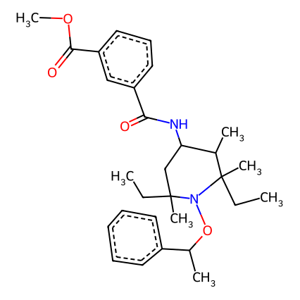 CCC1(C)CC(NC(=O)c2cccc(C(=O)OC)c2)C(C)C(C)(CC)N1OC(C)c1ccccc1